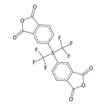 O=C1OC(=O)c2cc(S(c3ccc4c(c3)C(=O)OC4=O)(C(F)(F)F)C(F)(F)F)ccc21